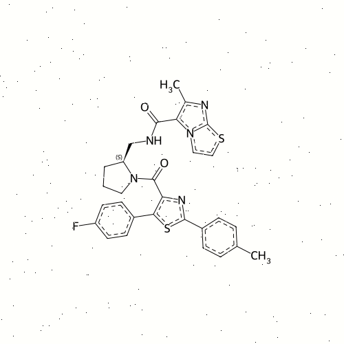 Cc1ccc(-c2nc(C(=O)N3CCC[C@H]3CNC(=O)c3c(C)nc4sccn34)c(-c3ccc(F)cc3)s2)cc1